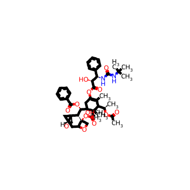 CC(=O)O[C@@H](C)C1C(C)=C(OC(=O)[C@H](O)[C@@H](NC(=O)NC(C)(C)C)c2ccccc2)C[C@@](O)([C@@H](OC(=O)c2ccccc2)[C@H]2[C@@]3(C=O)C[C@H]3CC3OC[C@]32OC(C)=O)C1(C)C